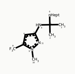 CCCCCCCC(C)(C)Nc1cc(C(F)(F)F)n(C)n1